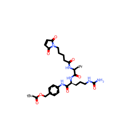 CC(C)C(NC(=O)CCCCN1C(=O)C=CC1=O)C(=O)N[C@@H](CCCNC(N)=O)C(=O)Nc1ccc(COC(=O)C(C)(C)C)cc1